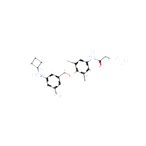 Cc1cc(NC(=O)CC(=O)O)cc(C)c1OCc1cc(NC2CCC2)cc(C(F)(F)F)c1